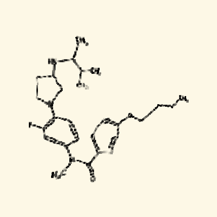 CCCCOc1ccc(C(=O)N(C)c2ccc(N3CCC(NC(C)C(C)C)C3)c(F)c2)cc1